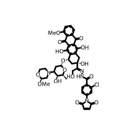 COc1cccc2c1C(=O)c1c(O)c3c(c(O)c1C2=O)C[C@@](O)(/C(CO)=N/NC(=O)c1ccc(N2C(=O)C=CC2=O)cc1Cl)C[C@@H]3O[C@H]1CC(N2CCO[C@H](OC)C2)[C@H](O)[C@H](C)O1